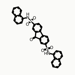 O=C1c2cc(S(=O)(=O)Nc3cccc4ccccc34)ccc2-c2ccc(S(=O)(=O)Nc3cccc4ccccc34)cc21